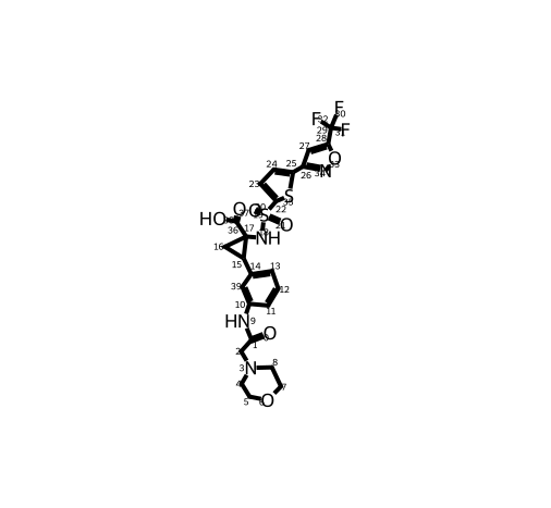 O=C(CN1CCOCC1)Nc1cccc(C2CC2(NS(=O)(=O)c2ccc(-c3cc(C(F)(F)F)on3)s2)C(=O)O)c1